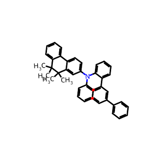 CC1(C)c2ccccc2-c2ccc(N(c3ccccc3)c3ccccc3-c3cccc(-c4ccccc4)c3)cc2C1(C)C